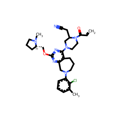 C=CC(=O)N1CCN(c2nc(OC[C@@H]3CCCN3C)nc3c2CCCN(c2cccc(C)c2Cl)C3)CC1CC#N